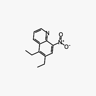 CCc1cc([N+](=O)[O-])c2ncccc2c1CC